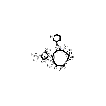 CC[C@H]1OC(=O)[C@H](C)C(=O)[C@H](C)[C@@H](O[C@@H]2O[C@H](C)C[C@H](N(C)C)[C@H]2O)[C@](C)(OC)C[C@@H](C)/C(=N\OC2CCCNC2)[C@H](C)[C@@H](O)[C@]1(C)O